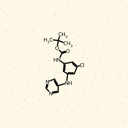 CC(C)(C)OC(=O)Nc1cc(Cl)cc(Nc2cncnc2)c1